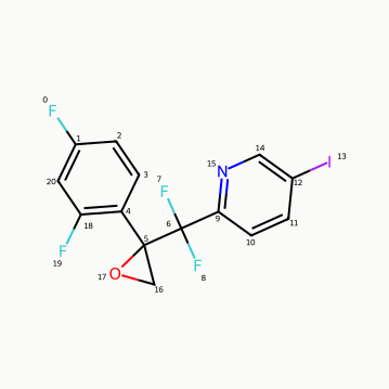 Fc1ccc(C2(C(F)(F)c3ccc(I)cn3)CO2)c(F)c1